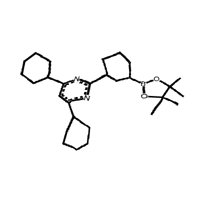 CC1(C)OB(C2CCCC(c3nc(C4CCCCC4)cc(C4CCCCC4)n3)C2)OC1(C)C